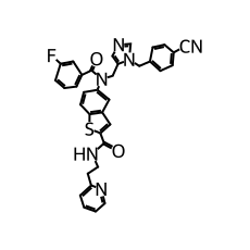 N#Cc1ccc(Cn2cncc2CN(C(=O)c2cccc(F)c2)c2ccc3sc(C(=O)NCCc4ccccn4)cc3c2)cc1